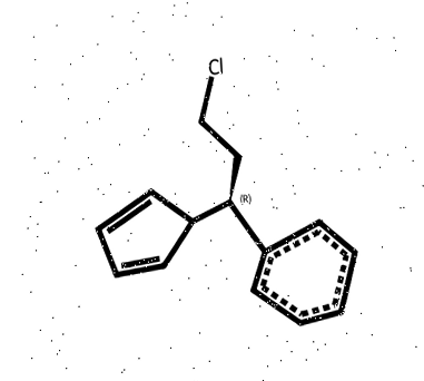 ClCC[C@@H](c1ccccc1)C1C=CC=C1